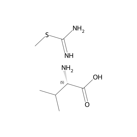 CC(C)[C@H](N)C(=O)O.CSC(=N)N